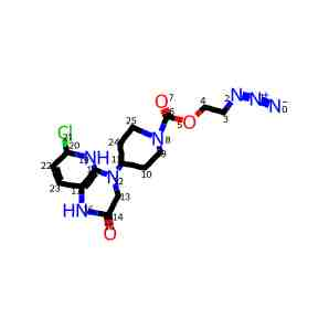 [N-]=[N+]=NCCOC(=O)N1CCC(N2CC(=O)NC3=C2NC(Cl)C=C3)CC1